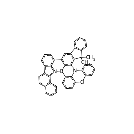 CC1(C)c2ccccc2-c2cc3c4c(c21)N1c2ccccc2Oc2cccc(c21)B4n1c2c-3cccc2c2ccc3ccccc3c21